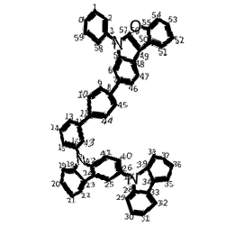 c1ccc(-n2c3cc(-c4ccc(-c5cccc(-n6c7ccccc7c7cc(-n8c9ccccc9c9ccccc98)ccc76)c5)cc4)ccc3c3c4ccccc4oc32)cc1